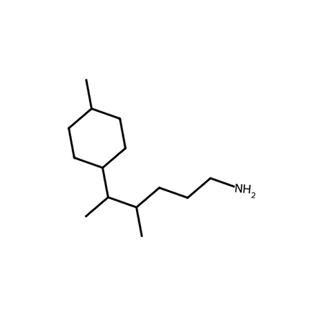 CC1CCC(C(C)C(C)CCCN)CC1